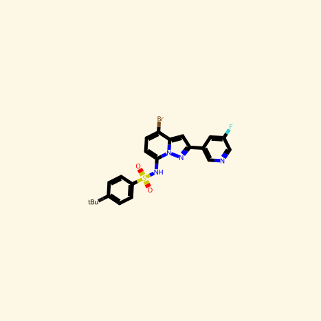 CC(C)(C)c1ccc(S(=O)(=O)Nc2ccc(Br)c3cc(-c4cncc(F)c4)nn23)cc1